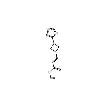 CC(C)(C)OC(=O)/C=C/[C@H]1C[C@@H](c2nnco2)C1